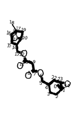 CC12CCC(COC(=O)CC(=O)OCC3C=C[C@]4(C)CC3O4)CC1O2